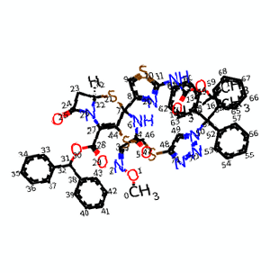 CO/N=C\C(=O)NC1(c2csc(NC(=O)OC(C)(C)C)n2)S[C@@H]2CC(=O)N2C(C(=O)OC(c2ccccc2)c2ccccc2)=C1SCSc1cn(C(c2ccccc2)(c2ccccc2)c2ccccc2)nn1